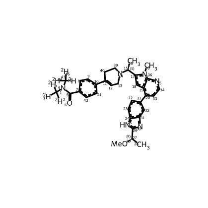 [2H]C([2H])([2H])N(C(=O)c1ccc(C2=CCN([C@@H](C)c3cc4c(-c5ccc6[nH]c([C@@H](C)OC)nc6c5)ccnc4n3C)CC2)cc1)C([2H])([2H])[2H]